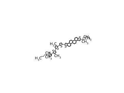 CCCCC(C)(C)c1ccc(-c2sc(-c3cc(C)c(-c4ccc(-c5cc6c(ccc7c6ccc6c8ccc9sc(C(C)(CC)CC)cc9c8ccc76)s5)s4)s3)cc2C)s1